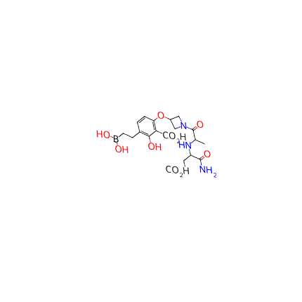 CC(NC(CC(=O)O)C(N)=O)C(=O)N1CC(Oc2ccc(CCB(O)O)c(O)c2C(=O)O)C1